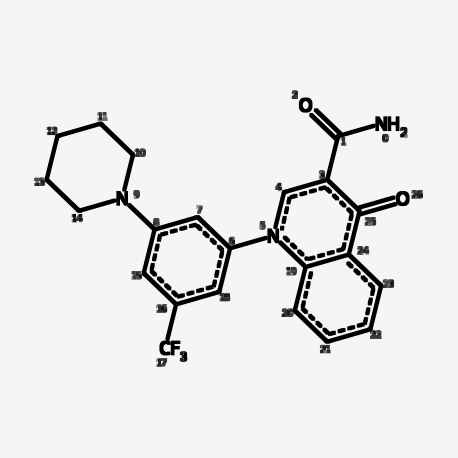 NC(=O)c1cn(-c2cc(N3CCCCC3)cc(C(F)(F)F)c2)c2ccccc2c1=O